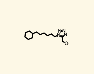 [O]Cc1nnnn1CCCCCCC1CCCCC1